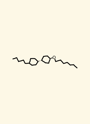 CCCCCCCO[C@H]1CC[C@H](C2CCC(CCCCC)CC2)CC1